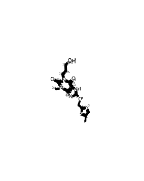 Cc1cnc(COc2nc3c([nH]2)c(=O)n(CCCO)c(=O)n3C)s1